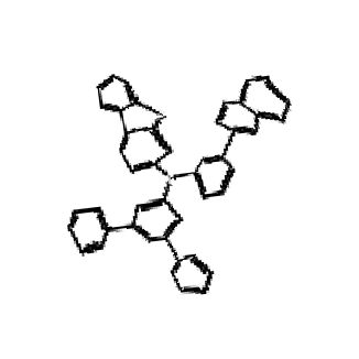 c1ccc(-c2cc(-c3ccccc3)cc(N(c3cccc(-c4ccc5ccccc5c4)c3)c3ccc4c(c3)sc3ccccc34)c2)cc1